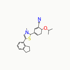 CC(C)OC1CC=C(C2SC(c3cccc4c3CCC4)=CN2C)C=C1C#N